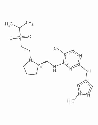 CC(C)S(=O)(=O)CCN1CCC[C@@H]1CNc1nc(Nc2cnn(C)c2)ncc1Cl